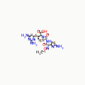 CCO/N=C(\C(=O)NC1C(=O)N2C(C(=O)O)=C(Sc3cc(N)nc(N)n3)CSC12)c1csc(N)n1